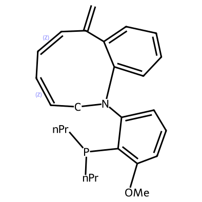 C=C1/C=C\C=C/CN(c2cccc(OC)c2P(CCC)CCC)c2ccccc21